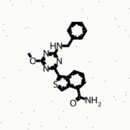 COc1nc(NCc2ccccc2)nc(-c2scc3c(C(N)=O)cccc23)n1